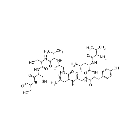 CC(C)C(N)C(=O)NC(CC(N)=O)C(=O)NC(Cc1ccc(O)cc1)C(=O)NCC(=O)NC(CC(N)=O)C(=O)NCC(=O)NC(C(=O)NC(CO)C(=O)NC(CS)C(=O)NC(C=O)CO)C(C)C